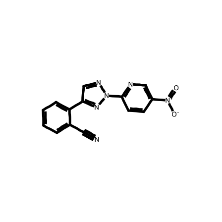 N#Cc1ccccc1-c1cnn(-c2ccc([N+](=O)[O-])cn2)n1